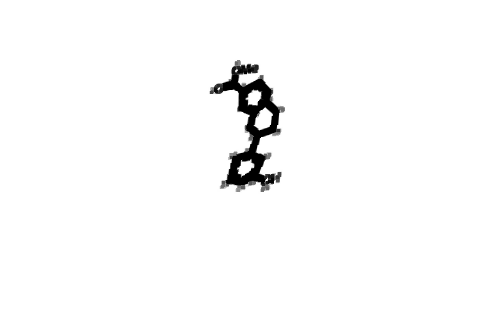 COC(=O)c1ccc2c(c1)CC(c1cccc(O)c1)CC2